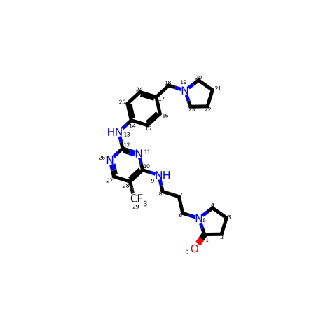 O=C1CCCN1CCCNc1nc(Nc2ccc(CN3CCCC3)cc2)ncc1C(F)(F)F